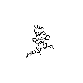 COc1cccc([C@H]2O[C@H](Cc3ncc(CCC(=O)O)o3)C(=O)N(CC(C)(C)CO)c3ccc(Cl)cc32)c1OC